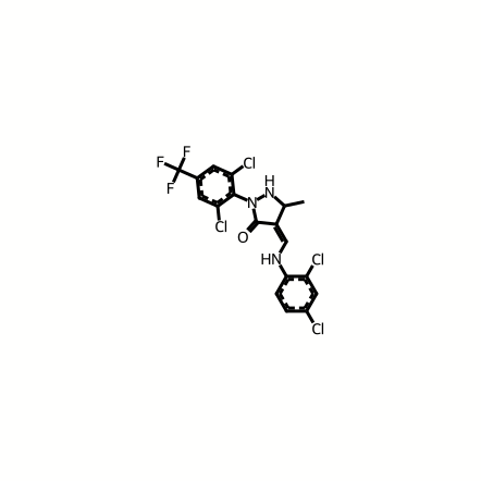 CC1NN(c2c(Cl)cc(C(F)(F)F)cc2Cl)C(=O)C1=CNc1ccc(Cl)cc1Cl